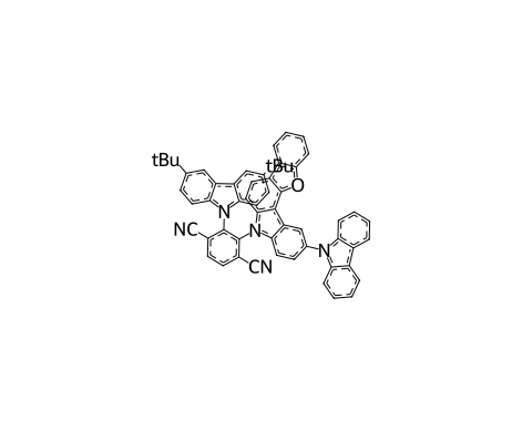 CC(C)(C)c1ccc2c(c1)c1cc(C(C)(C)C)ccc1n2-c1c(C#N)ccc(C#N)c1-n1c2ccc(-n3c4ccccc4c4ccccc43)cc2c2c3oc4ccccc4c3ccc21